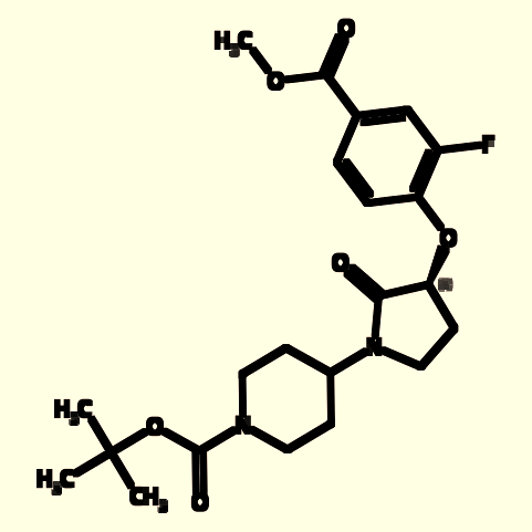 COC(=O)c1ccc(O[C@H]2CCN(C3CCN(C(=O)OC(C)(C)C)CC3)C2=O)c(F)c1